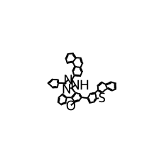 c1ccc(C2=NC(c3cc(-c4ccc5sc6c7ccccc7ccc6c5c4)cc4oc5ccccc5c34)NC(c3ccc4ccc5ccccc5c4c3)=N2)cc1